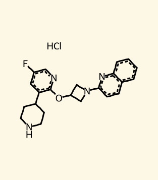 Cl.Fc1cnc(OC2CN(c3ccc4ccccc4n3)C2)c(C2CCNCC2)c1